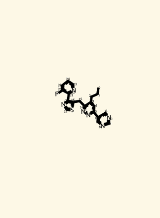 CCCc1cc(-c2cncnc2)nnc1Cc1scnc1-c1ncccc1F